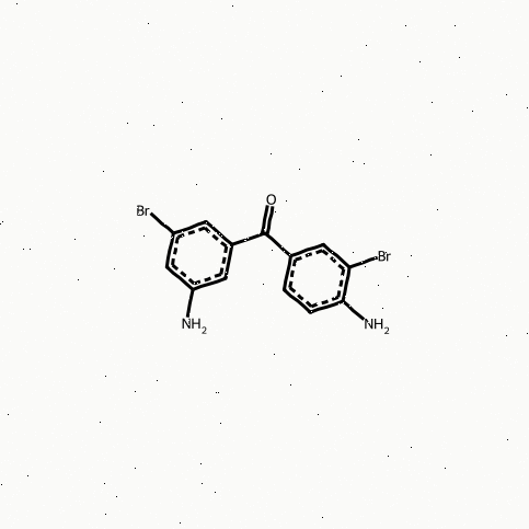 Nc1cc(Br)cc(C(=O)c2ccc(N)c(Br)c2)c1